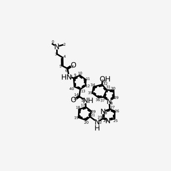 CN(C)C/C=C/C(=O)Nc1cccc(C(=O)Nc2cccc(Nc3nccc(-n4ccc5c(O)cccc54)n3)c2)c1